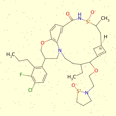 CCCc1c(C2COc3ccc4cc3N(CCC(CC)C(OCCN3CCC[S+]3[O-])C3=C[C@@H](C3)CC(C)[S+]([O-])NC4=O)C2)ccc(Cl)c1F